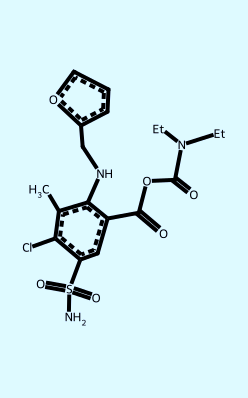 CCN(CC)C(=O)OC(=O)c1cc(S(N)(=O)=O)c(Cl)c(C)c1NCc1ccco1